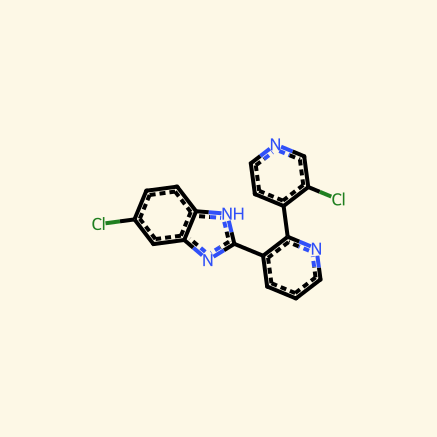 Clc1ccc2[nH]c(-c3cccnc3-c3ccncc3Cl)nc2c1